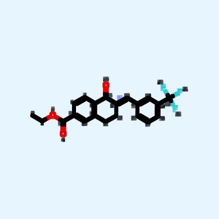 CCOC(=O)c1ccc2c(c1)CC/C(=C\c1cccc(C(F)(F)F)c1)C2=O